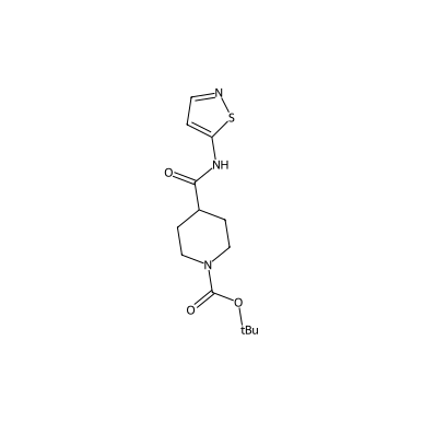 CC(C)(C)OC(=O)N1CCC(C(=O)Nc2ccns2)CC1